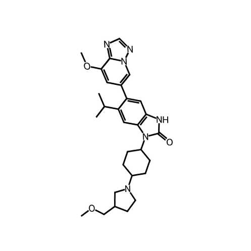 COCC1CCN(C2CCC(n3c(=O)[nH]c4cc(-c5cc(OC)c6ncnn6c5)c(C(C)C)cc43)CC2)C1